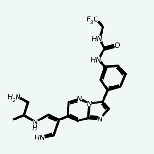 CC(CN)N/C=C(\C=N)c1cnn2c(-c3cccc(NC(=O)NCC(F)(F)F)c3)cnc2c1